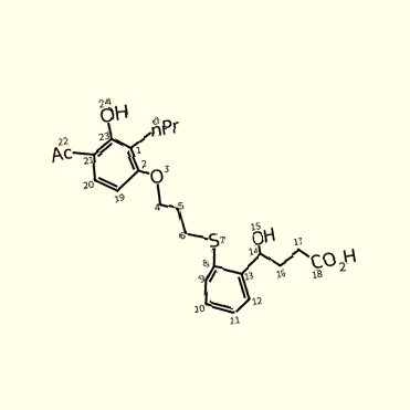 CCCc1c(OCCCSc2ccccc2C(O)CCC(=O)O)ccc(C(C)=O)c1O